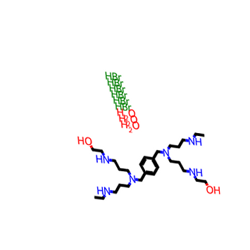 Br.Br.Br.Br.Br.Br.CCNCCCN(CCCNCCO)Cc1ccc(CN(CCCNCC)CCCNCCO)cc1.O.O.O